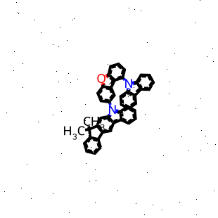 CC1(C)c2ccccc2-c2cc3c4ccccc4n(-c4ccc5oc6cccc(-n7c8ccccc8c8ccccc87)c6c5c4)c3cc21